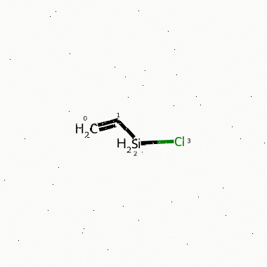 C=C[SiH2]Cl